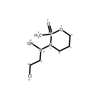 CP1(=O)OCCCN1N(CCCl)N=O